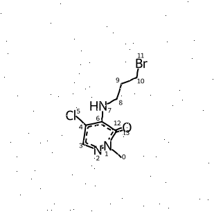 Cn1ncc(Cl)c(NCCCBr)c1=O